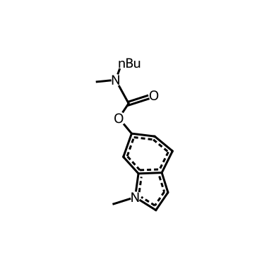 CCCCN(C)C(=O)Oc1ccc2ccn(C)c2c1